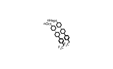 CCCCCCCC[C@H]1CC[C@H](C2CCC(c3ccc(CC(F)(F)F)cc3)CC2)CC1.CCCCCCC[C@H]1CC[C@H](C2CCC(c3ccc(CC(F)(F)F)cc3)CC2)CC1